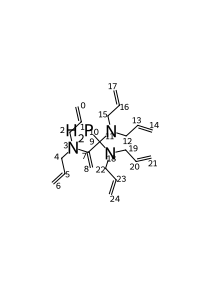 C=CCN(CC=C)C(=C)C(P)(N(CC=C)CC=C)N(CC=C)CC=C